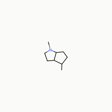 CC1CCC2C1CCN2C